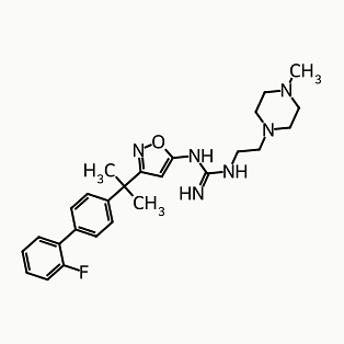 CN1CCN(CCNC(=N)Nc2cc(C(C)(C)c3ccc(-c4ccccc4F)cc3)no2)CC1